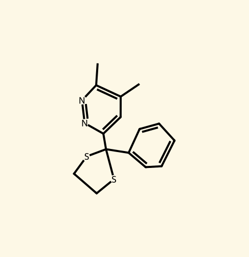 Cc1cc(C2(c3ccccc3)SCCS2)nnc1C